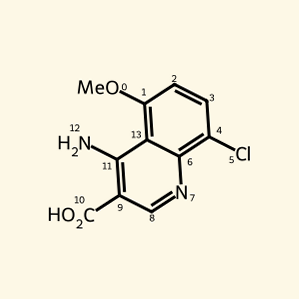 COc1ccc(Cl)c2ncc(C(=O)O)c(N)c12